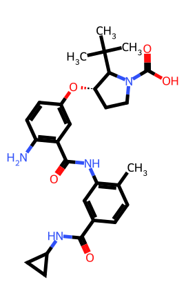 Cc1ccc(C(=O)NC2CC2)cc1NC(=O)c1cc(O[C@H]2CCN(C(=O)O)C2C(C)(C)C)ccc1N